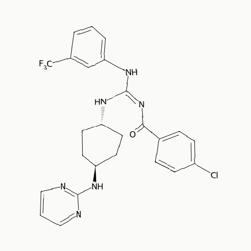 O=C(/N=C(/Nc1cccc(C(F)(F)F)c1)N[C@H]1CC[C@H](Nc2ncccn2)CC1)c1ccc(Cl)cc1